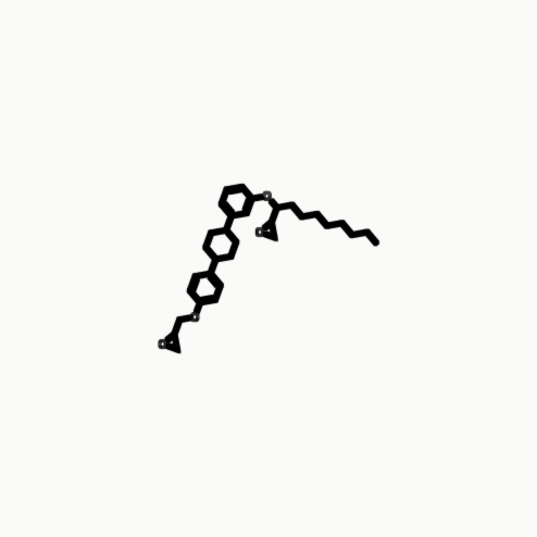 CCCCCCCCC(Oc1cccc(C2CCC(c3ccc(OCC4CO4)cc3)CC2)c1)C1CO1